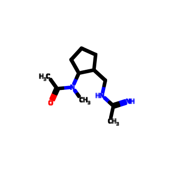 CC(=N)NCC1CCCC1N(C)C(C)=O